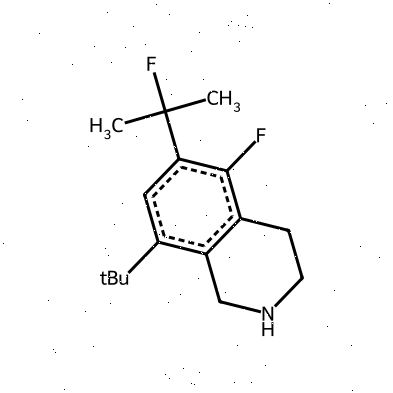 CC(C)(C)c1cc(C(C)(C)F)c(F)c2c1CNCC2